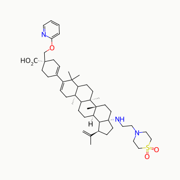 C=C(C)[C@@H]1CC[C@]2(NCCN3CCS(=O)(=O)CC3)CC[C@]3(C)[C@H](CCC4[C@@]5(C)CC=C(C6=CC[C@@](COc7ccccn7)(C(=O)O)CC6)C(C)(C)C5CC[C@]43C)C12